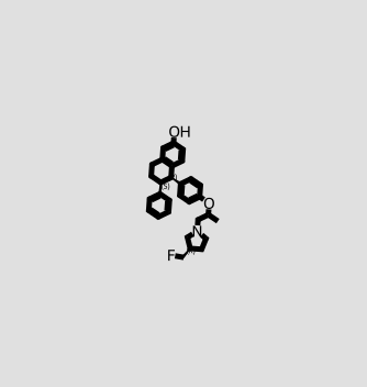 CC(CN1CC[C@@H](CF)C1)Oc1ccc([C@@H]2c3ccc(O)cc3CC[C@@H]2c2ccccc2)cc1